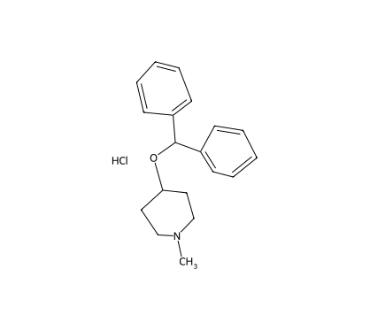 CN1CCC(OC(c2ccccc2)c2ccccc2)CC1.Cl